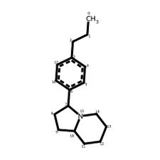 CCCc1ccc(C2CCC3CCCCN32)cc1